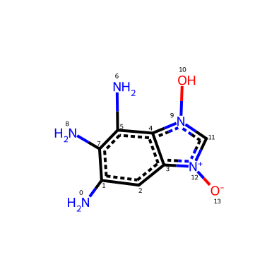 Nc1cc2c(c(N)c1N)n(O)c[n+]2[O-]